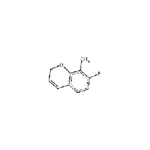 Cc1c(F)ccc2c1OCC=C2